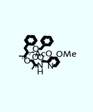 COc1ccnc(C(=O)N[C@@H](C)C(=O)O[C@@H](C)[C@@H](COCc2ccccc2)Cc2ccccc2)c1OC(C)=O